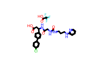 O=C(O)C(F)(F)F.O=C(O)CC(NC(=O)CNC(=O)NCCCNc1ccccn1)c1ccc(-c2ccc(Cl)cc2)cc1